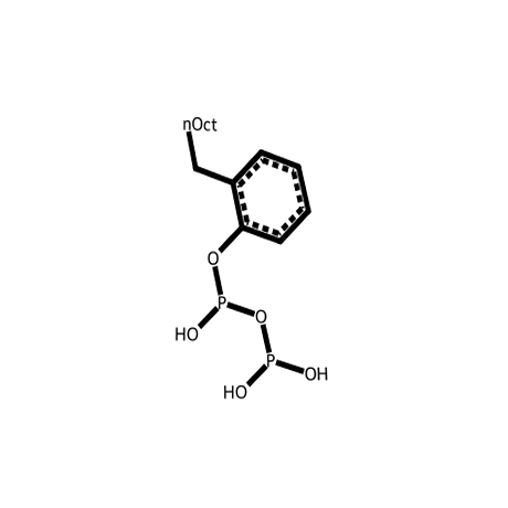 CCCCCCCCCc1ccccc1OP(O)OP(O)O